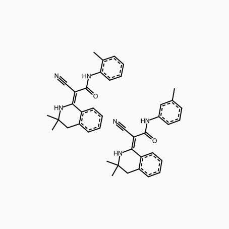 Cc1cccc(NC(=O)/C(C#N)=C2/NC(C)(C)Cc3ccccc32)c1.Cc1ccccc1NC(=O)/C(C#N)=C1/NC(C)(C)Cc2ccccc21